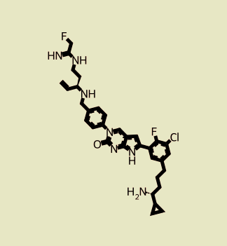 C=C[C@@H](CCNC(=N)CF)NCc1ccc(-n2cc3cc(-c4cc(CCC[C@@H](N)C5CC5)cc(Cl)c4F)[nH]c3nc2=O)cc1